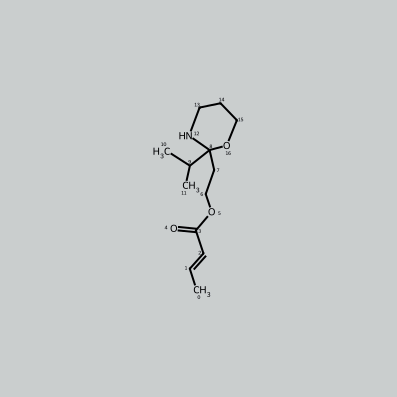 CC=CC(=O)OCCC1(C(C)C)NCCCO1